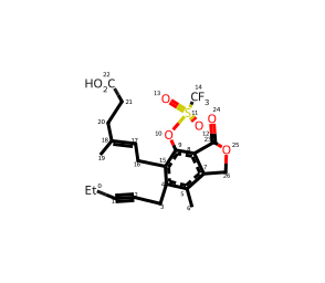 CCC#CCc1c(C)c2c(c(OS(=O)(=O)C(F)(F)F)c1C/C=C(\C)CCC(=O)O)C(=O)OC2